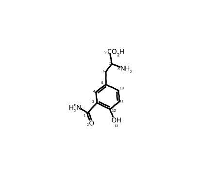 NC(=O)c1cc(CC(N)C(=O)O)ccc1O